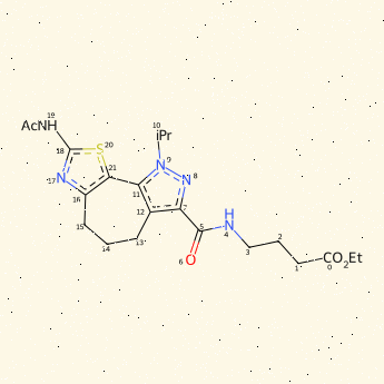 CCOC(=O)CCCNC(=O)c1nn(C(C)C)c2c1CCCc1nc(NC(C)=O)sc1-2